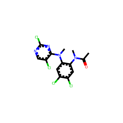 CC(=O)N(C)c1cc(Cl)c(Cl)cc1N(C)c1nc(Cl)ncc1Cl